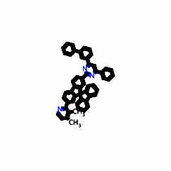 Cc1ccnc(-c2ccc3c(c2)C2(c4ccccc4-c4ccccc42)c2cc(-c4nc(-c5ccccc5)cc(-c5cccc(-c6ccccc6)c5)n4)ccc2-3)c1C